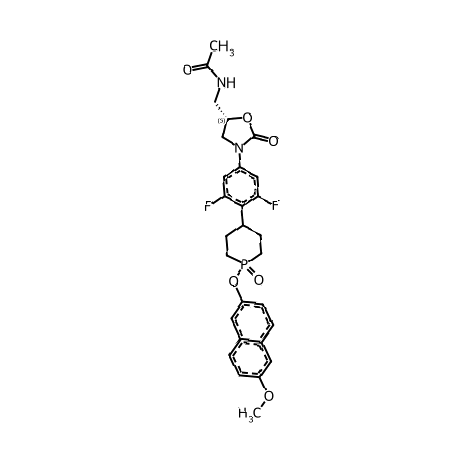 COc1ccc2cc(OP3(=O)CCC(c4c(F)cc(N5C[C@H](CNC(C)=O)OC5=O)cc4F)CC3)ccc2c1